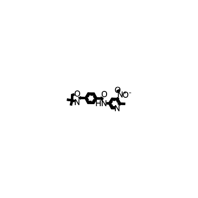 Cc1ncc(NC(=O)c2ccc(C3=NC(C)(C)CO3)cc2)cc1[N+](=O)[O-]